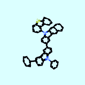 c1ccc(-c2ccc3c(c2)c2cc(-c4ccc5c(c4)c4cc6ccccc6cc4n5-c4cccc5sc6ccccc6c45)ccc2n3-c2ccccc2)cc1